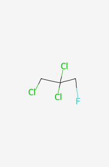 FCC(Cl)(Cl)CCl